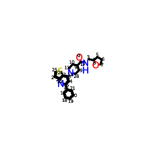 O=C(NCC1CCCO1)C1CCN(c2cc(-c3ccccc3)nc3ccsc23)CC1